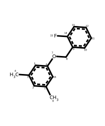 Cc1cc(C)cc(OCc2ccccc2F)c1